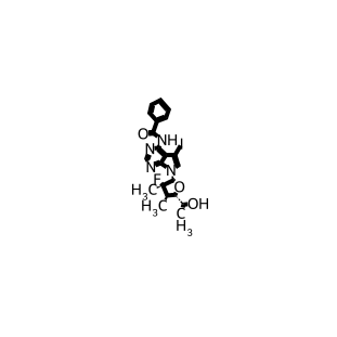 CC(O)[C@H]1O[C@@H](n2cc(I)c3c(NC(=O)c4ccccc4)ncnc32)[C@](C)(F)[C@@H]1C